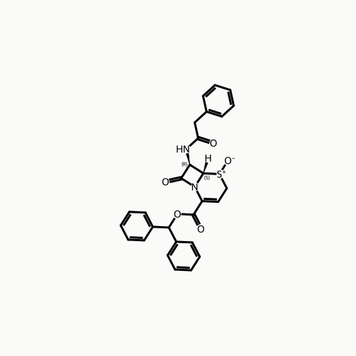 O=C(Cc1ccccc1)N[C@@H]1C(=O)N2C(C(=O)OC(c3ccccc3)c3ccccc3)=CC[S+]([O-])[C@@H]12